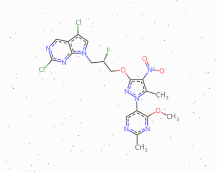 COc1nc(C)ncc1-n1nc(OC[C@H](F)Cn2cc(Cl)c3cnc(Cl)nc32)c([N+](=O)[O-])c1C